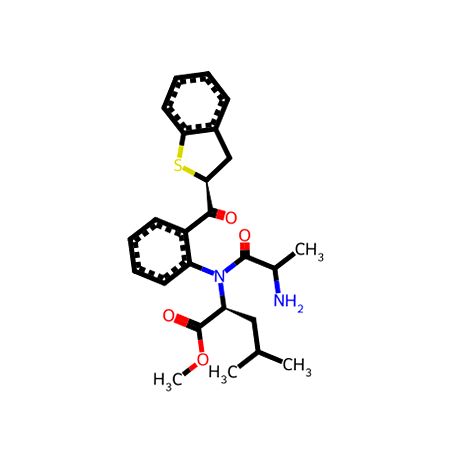 COC(=O)[C@H](CC(C)C)N(C(=O)C(C)N)c1ccccc1C(=O)[C@@H]1Cc2ccccc2S1